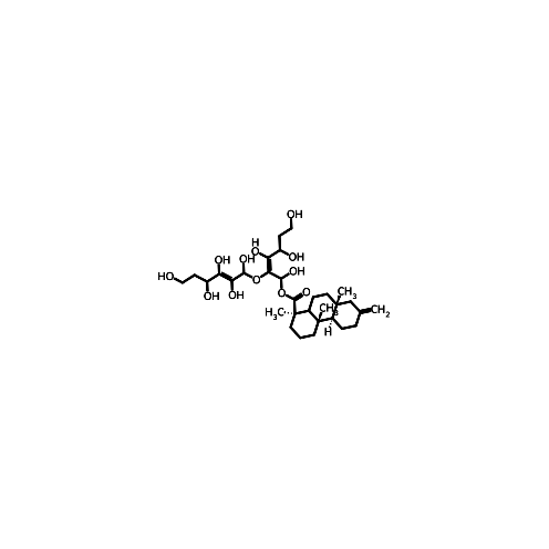 C=C1CC[C@@H]2[C@](C)(CCC3[C@](C)(C(=O)OC(O)/C(OC(O)/C(O)=C(\O)C(O)CCO)=C(/O)C(O)CCO)CCC[C@]32C)C1